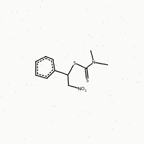 CN(C)C(=S)SC(C[N+](=O)[O-])c1ccccc1